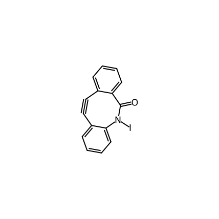 O=C1c2ccccc2C#Cc2ccccc2N1I